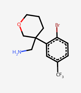 NCC1(c2cc(C(F)(F)F)ccc2Br)CCCOC1